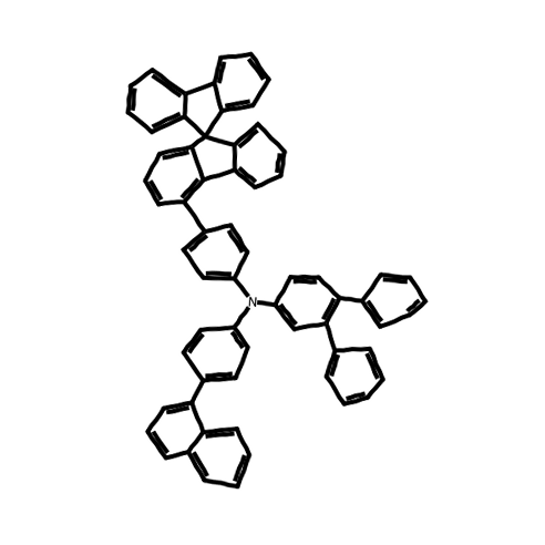 c1ccc(-c2ccc(N(c3ccc(-c4cccc5c4-c4ccccc4C54c5ccccc5-c5ccccc54)cc3)c3ccc(-c4cccc5ccccc45)cc3)cc2-c2ccccc2)cc1